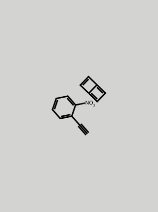 C#Cc1ccccc1[N+](=O)[O-].c1cc2ccc1-2